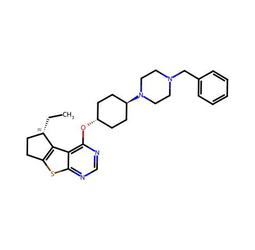 CC[C@H]1CCc2sc3ncnc(O[C@H]4CC[C@H](N5CCN(Cc6ccccc6)CC5)CC4)c3c21